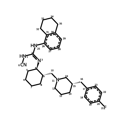 N#CNC(=N[C@@H]1CCCC[C@H]1CN1CCC[C@@H](Cc2ccc(F)cc2)C1)Nc1cccc2c1CCCC2